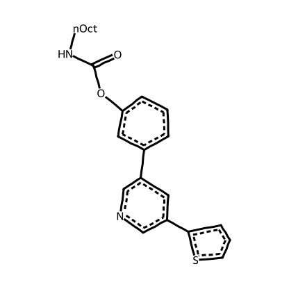 CCCCCCCCNC(=O)Oc1cccc(-c2cncc(-c3cccs3)c2)c1